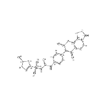 O=C(Nc1ccc(N2C(=O)Cc3c(ccc4c3CCN4)C2=O)nc1)NS(=O)(=O)C1=CCC(Cl)S1